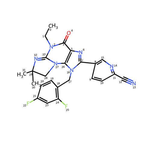 CCN1C(=O)c2nc(-c3ccc(C#N)nc3)n(Cc3ccc(F)cc3F)c2N2CC(C)(C)N=C12